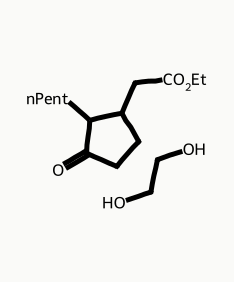 CCCCCC1C(=O)CCC1CC(=O)OCC.OCCO